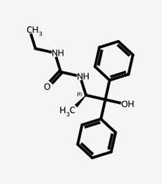 CCNC(=O)N[C@H](C)C(O)(c1ccccc1)c1ccccc1